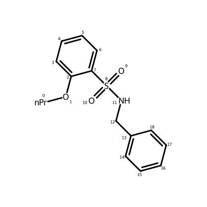 CCCOc1ccccc1S(=O)(=O)NCc1ccccc1